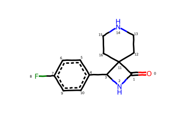 O=C1NC(c2ccc(F)cc2)C12CCNCC2